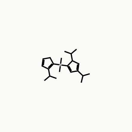 CC(C)C1=CC(C(C)C)C([Si](C)(C)C2=C(C(C)C)C=CC2)=C1